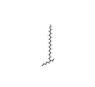 CCCCOC(CC)COCCCCCCCCCCCCCCSC